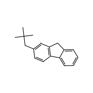 CC(C)(C)Cc1[c]c2c(cc1)-c1ccccc1C2